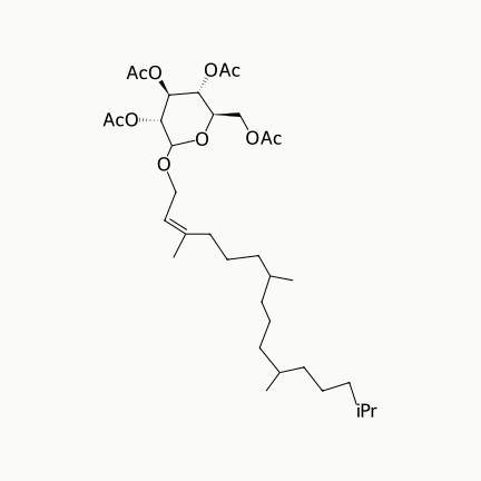 CC(=O)OC[C@H]1OC(OCC=C(C)CCCC(C)CCCC(C)CCCC(C)C)[C@H](OC(C)=O)[C@@H](OC(C)=O)[C@@H]1OC(C)=O